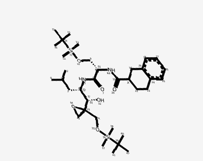 CC(C)C[C@H](NC(=O)[C@H](CO[Si](C)(C)C(C)(C)C)NC(=O)C1CCc2ccccc2C1)[C@H](O)C1(CO[Si](C)(C)C(C)(C)C)CO1